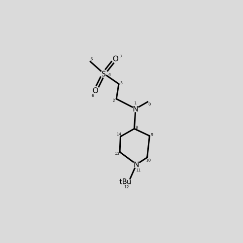 CN(CCS(C)(=O)=O)C1CCN(C(C)(C)C)CC1